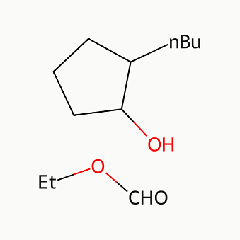 CCCCC1CCCC1O.CCOC=O